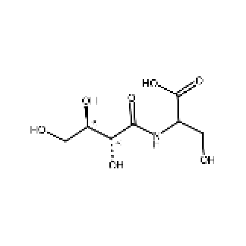 O=C(O)C(CO)NC(=O)[C@H](O)[C@H](O)CO